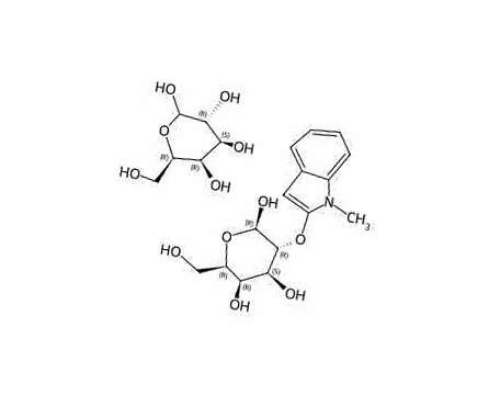 Cn1c(O[C@@H]2[C@@H](O)[C@@H](O)[C@@H](CO)O[C@H]2O)cc2ccccc21.OC[C@H]1OC(O)[C@H](O)[C@@H](O)[C@H]1O